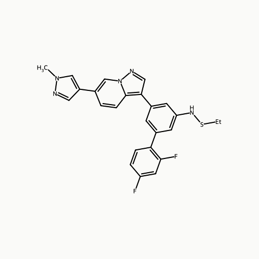 CCSNc1cc(-c2ccc(F)cc2F)cc(-c2cnn3cc(-c4cnn(C)c4)ccc23)c1